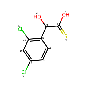 OC(=S)C(O)c1ccc(Cl)cc1Cl